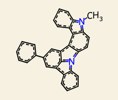 Cn1c2ccccc2c2c3c4cc(-c5ccccc5)cc5c6ccccc6n(c3ccc21)c54